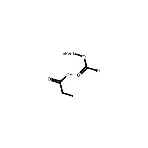 CCC(=O)O.CCCCCOC(=O)CC